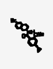 COc1cc(C2CC2)ccc1C(=O)N[C@H]1CCc2cc(Br)ccc2C1